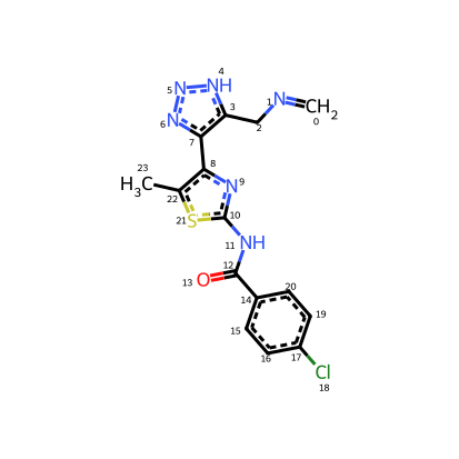 C=NCc1[nH]nnc1-c1nc(NC(=O)c2ccc(Cl)cc2)sc1C